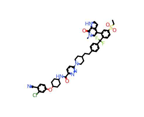 CCS(=O)(=O)c1ccc(C(F)(F)c2ccc(CCC3CCN(c4ccc(C(=O)NC5CCC(Oc6ccc(C#N)c(Cl)c6)CC5)nn4)CC3)cc2)c(-c2cn(C)c(=O)c3[nH]ccc23)c1